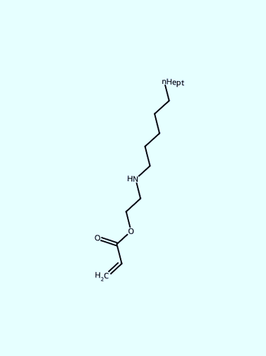 C=CC(=O)OCCNCCCCCCCCCCCC